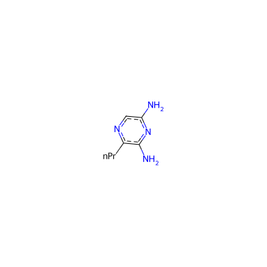 CCCc1ncc(N)nc1N